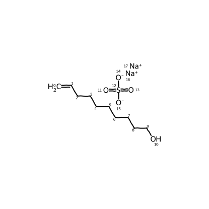 C=CCCCCCCCCO.O=S(=O)([O-])[O-].[Na+].[Na+]